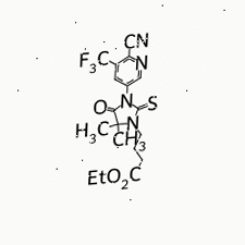 CCOC(=O)CCCN1C(=S)N(c2cnc(C#N)c(C(F)(F)F)c2)C(=O)C1(C)C